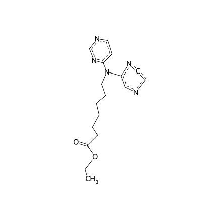 CCOC(=O)CCCCCCN(c1ccncn1)c1cnccn1